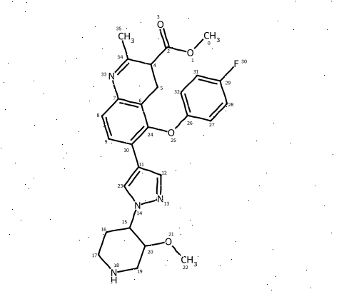 COC(=O)C1Cc2c(ccc(-c3cnn(C4CCNCC4OC)c3)c2Oc2ccc(F)cc2)N=C1C